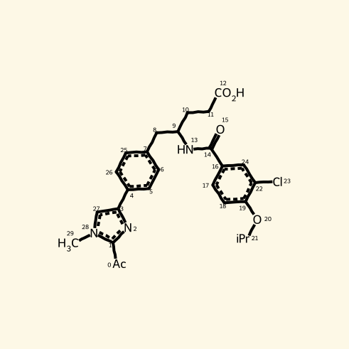 CC(=O)c1nc(-c2ccc(CC(CCC(=O)O)NC(=O)c3ccc(OC(C)C)c(Cl)c3)cc2)cn1C